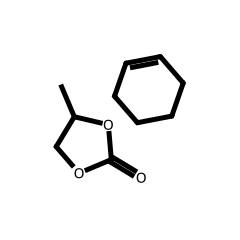 C1=CCCCC1.CC1COC(=O)O1